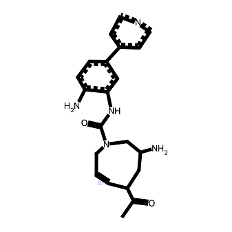 CC(=O)C1/C=C\CN(C(=O)Nc2cc(-c3ccncc3)ccc2N)CC(N)C1